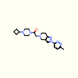 Cc1ccc(-n2cc3c(n2)CCN(CC(=O)N2CCN(C4CCC4)CC2)C3)nn1